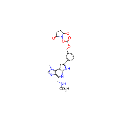 Cn1cnc2c(CNC(=O)O)nc3[nH]c(-c4cccc(COC(=O)ON5C(=O)CCC5=O)c4)cc3c21